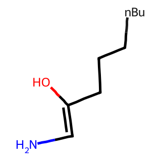 CCCCCCCC(O)=CN